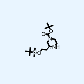 CC(C)(C)OC(=O)N1CCN[C@@H](CCO[Si](C)(C)C(C)(C)C)C1